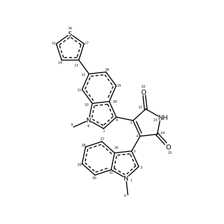 Cn1cc(C2=C(c3cn(C)c4cc(-c5ccsc5)ccc34)C(=O)NC2=O)c2ccccc21